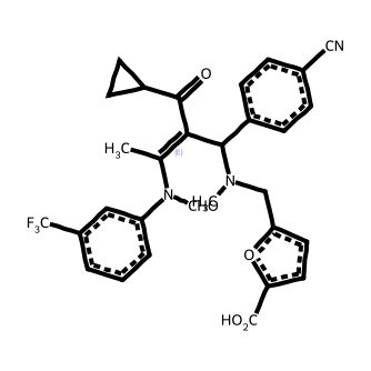 C/C(=C(\C(=O)C1CC1)C(c1ccc(C#N)cc1)N(C)Cc1ccc(C(=O)O)o1)N(C=O)c1cccc(C(F)(F)F)c1